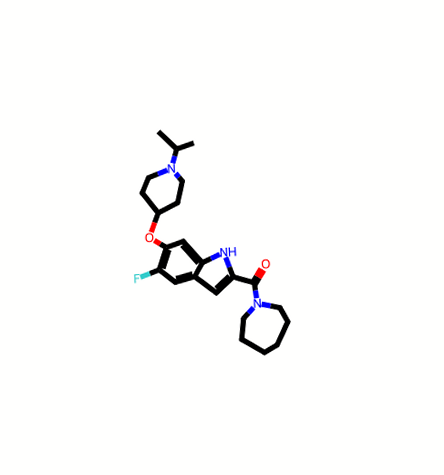 CC(C)N1CCC(Oc2cc3[nH]c(C(=O)N4CCCCCC4)cc3cc2F)CC1